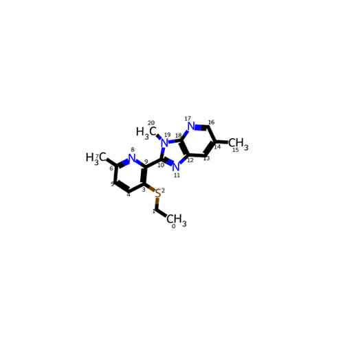 CCSc1ccc(C)nc1-c1nc2cc(C)cnc2n1C